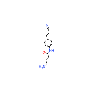 N#CCCc1ccc(NC(=O)CCCN)cc1